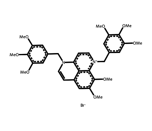 COc1cc(CN2C=Cc3cc(OC)c(OC)c4c3c2cc[n+]4Cc2cc(OC)c(OC)c(OC)c2)cc(OC)c1OC.[Br-]